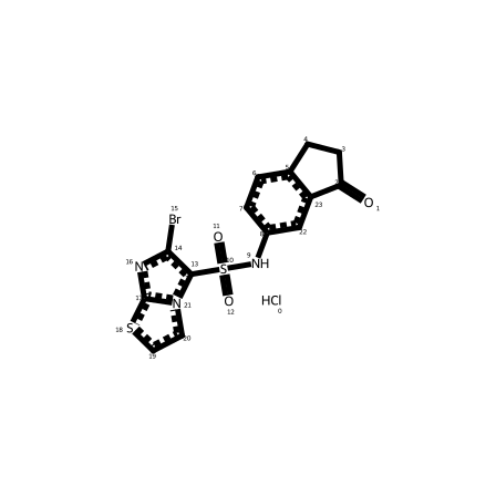 Cl.O=C1CCc2ccc(NS(=O)(=O)c3c(Br)nc4sccn34)cc21